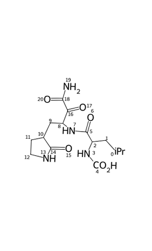 CC(C)CC(NC(=O)O)C(=O)NC(CC1CCNC1=O)C(=O)C(N)=O